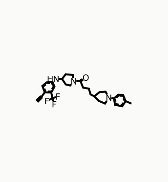 C#Cc1ccc(NC2CCN(C(=O)CCCC3CCN(c4ccc(C)cc4)CC3)CC2)cc1C(F)(F)F